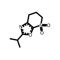 CC(C)c1nc2c(o1)S(=O)(=O)CCC2